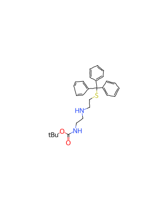 CC(C)(C)OC(=O)NCCNCCSC(c1ccccc1)(c1ccccc1)c1ccccc1